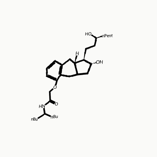 CCCCC[C@H](O)CC[C@H]1[C@H](O)CC2Cc3c(cccc3OCC(=O)NC(CCCC)CCCC)C[C@@H]21